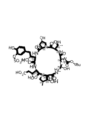 C[C@@H](O)C1NC(=O)[C@@H](NC(=O)OC(C)(C)C)C[C@@H](O)CNC(=O)[C@@H]2[C@@H](O)[C@@H](C)CN2C(=O)[C@H]([C@H](O)CC(=O)O)NC(=O)[C@H]([C@H](O)Cc2ccc(O)c(OS(=O)(=O)O)c2)NC(=O)[C@@H]2C[C@@H](O)CN2C1=O